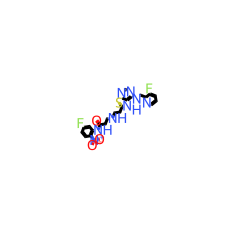 O=C(CCNCCc1nc2c(NCc3ncccc3F)ncnc2s1)Nc1cc(F)ccc1[N+](=O)[O-]